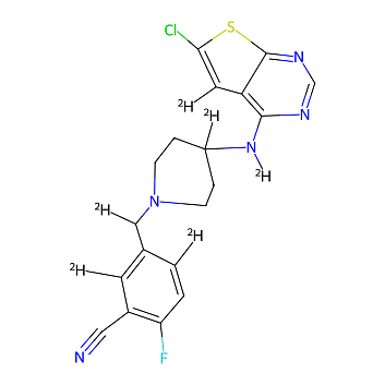 [2H]c1cc(F)c(C#N)c([2H])c1C([2H])N1CCC([2H])(N([2H])c2ncnc3sc(Cl)c([2H])c23)CC1